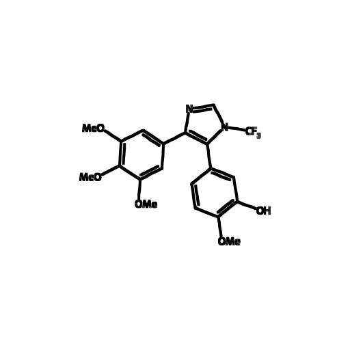 COc1ccc(-c2c(-c3cc(OC)c(OC)c(OC)c3)ncn2C(F)(F)F)cc1O